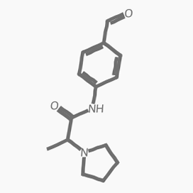 CC(C(=O)Nc1ccc(C=O)cc1)N1CCCC1